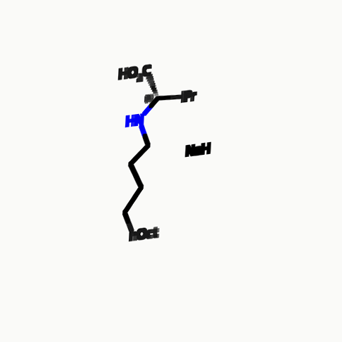 CCCCCCCCCCCCN[C@H](C(=O)O)C(C)C.[NaH]